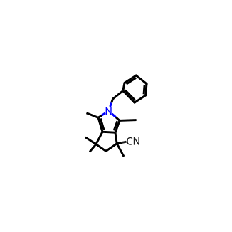 Cc1c2c(c(C)n1Cc1ccccc1)C(C)(C#N)CC2(C)C